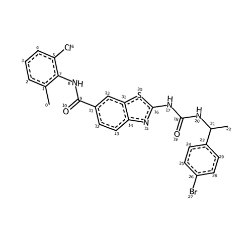 Cc1cccc(Cl)c1NC(=O)c1ccc2nc(NC(=O)NC(C)c3ccc(Br)cc3)sc2c1